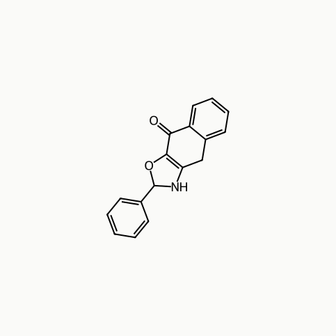 O=C1C2=C(Cc3ccccc31)NC(c1ccccc1)O2